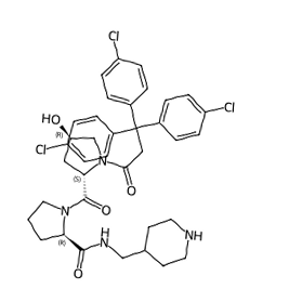 O=C(NCC1CCNCC1)[C@H]1CCCN1C(=O)[C@@H]1C[C@@H](O)CN1C(=O)CC(c1ccc(Cl)cc1)(c1ccc(Cl)cc1)c1ccc(Cl)cc1